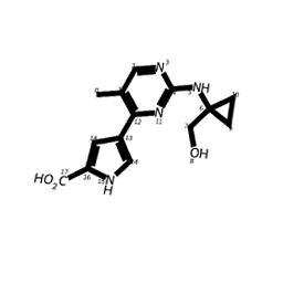 Cc1cnc(NC2(CO)CC2)nc1-c1c[nH]c(C(=O)O)c1